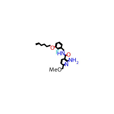 C=CCCCCOc1cccc(CNC(=O)c2ccc(COC)nc2N)c1F